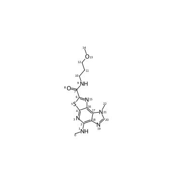 CNc1nc2sc(C(=O)NCCCOC)nc2c2c1ncn2C